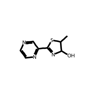 CC1SC(c2cnccn2)=NC1O